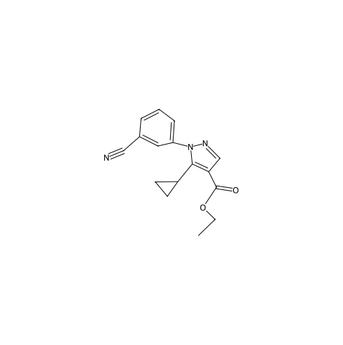 CCOC(=O)c1cnn(-c2cccc(C#N)c2)c1C1CC1